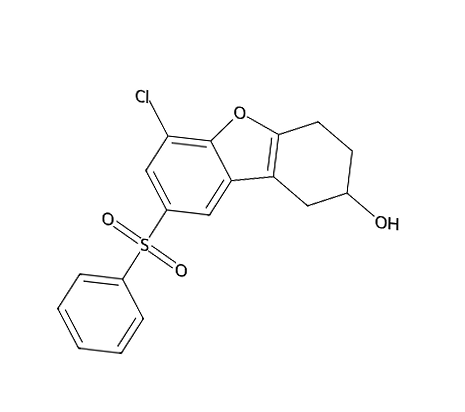 O=S(=O)(c1ccccc1)c1cc(Cl)c2oc3c(c2c1)CC(O)CC3